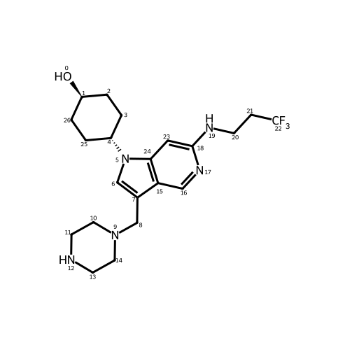 O[C@H]1CC[C@H](n2cc(CN3CCNCC3)c3cnc(NCCC(F)(F)F)cc32)CC1